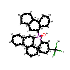 O=P(c1cccc(C(F)(F)F)c1)(c1cc2ccccc2c2ccccc12)c1cc2ccccc2c2ccccc12